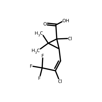 CC1(C)C(/C=C(/Cl)C(F)(F)F)C1(Cl)C(=O)O